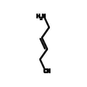 N#CCC=CCN